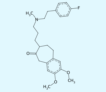 COc1cc2c(cc1OC)CC(=O)C(CCCN(C)CCc1ccc(F)cc1)CC2